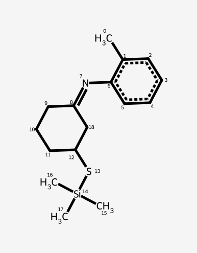 Cc1ccccc1N=C1CCCC(S[Si](C)(C)C)C1